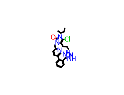 CCCc1c(Cl)n(C(C)CC)c(=O)n1Cc1ccc(-c2ccccc2-c2nnn[nH]2)cn1